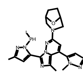 Cc1cc(-c2nc(C)c3c(-c4ccnn4C)cc(N4CC5CCC(C4)O5)nn23)n(PI)n1